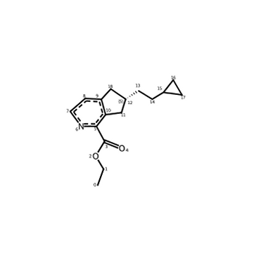 CCOC(=O)c1nccc2c1C[C@@H](CCC1CC1)C2